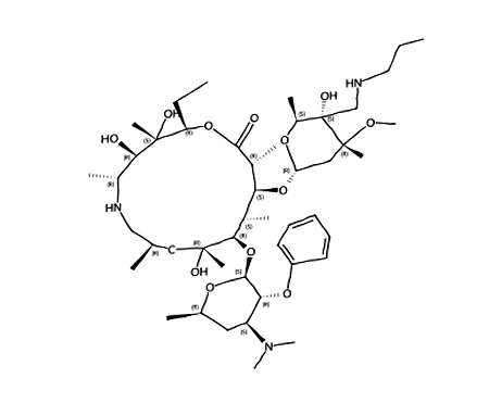 CCCNC[C@]1(O)[C@H](C)O[C@@H](O[C@H]2[C@H](C)[C@@H](O[C@@H]3O[C@H](C)C[C@H](N(C)C)[C@H]3Oc3ccccc3)[C@](C)(O)C[C@@H](C)CN[C@H](C)[C@@H](O)[C@](C)(O)[C@@H](CC)OC(=O)[C@@H]2C)C[C@@]1(C)OC